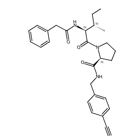 CC[C@H](C)[C@H](NC(=O)Cc1ccccc1)C(=O)N1CCC[C@H]1C(=O)NCc1ccc(C#N)cc1